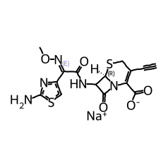 C#CC1=C(C(=O)[O-])N2C(=O)C(NC(=O)/C(=N/OC)c3csc(N)n3)[C@H]2SC1.[Na+]